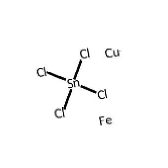 [Cl][Sn]([Cl])([Cl])[Cl].[Cu].[Fe]